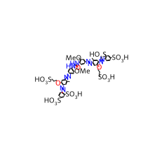 COc1cc(N=Nc2cc(OCCCS(=O)(=O)O)c(N=Nc3ccc(S(=O)(=O)O)cc3S(=O)(=O)O)cc2C)ccc1NC(=O)Nc1ccc(N=Nc2cc(OCCCS(=O)(=O)O)c(N=Nc3ccc(S(=O)(=O)O)cc3S(=O)(=O)O)cc2C)cc1OC